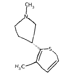 Cc1ccsc1[C@@H]1CCN(C)C1